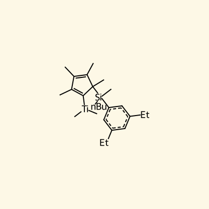 CCCC[Si](C)(c1cc(CC)cc(CC)c1)C1(C)C(C)=C(C)C(C)=[C]1[Ti]([CH3])[CH3]